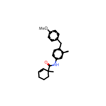 COc1ccc(Cc2ccc(NC(=O)C3(C)C=CCCC3)cc2C)cc1